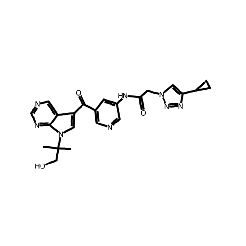 CC(C)(CO)n1cc(C(=O)c2cncc(NC(=O)Cn3cc(C4CC4)nn3)c2)c2cncnc21